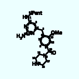 CCC[C@H](C)Nc1cc(Cc2ccc(C(=O)N3CCNCC3)cc2OC)nc(N)n1